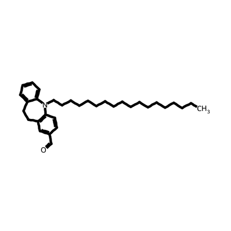 CCCCCCCCCCCCCCCCCCN1c2ccccc2CCc2cc(C=O)ccc21